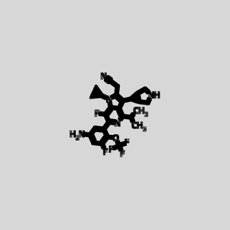 CC(C)c1nc(-c2cc(N)cc(F)c2OC(F)(F)F)c(F)c2c1c(C1C3CNCC31)c(CC#N)n2C1CC1